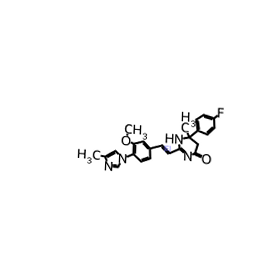 COc1cc(/C=C/C2=NC(=O)CC(C)(c3ccc(F)cc3)N2)ccc1-n1cnc(C)c1